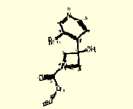 CC(C)(C)OC(=O)N1CC(O)(c2ccncc2Br)C1